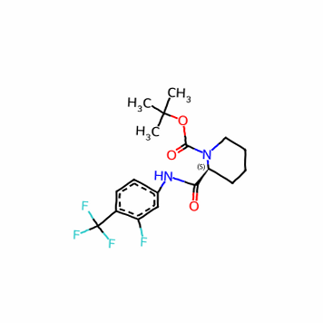 CC(C)(C)OC(=O)N1CCCC[C@H]1C(=O)Nc1ccc(C(F)(F)F)c(F)c1